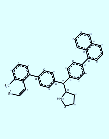 CC/C=C\c1c(C)cccc1-c1ccc(C(c2ccc(-c3cccc4ccccc34)cc2)C2CCCN2)cc1